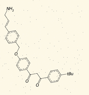 CC(C)(C)c1ccc(C(=O)CC(=O)c2ccc(OCc3ccc(/C=C/CN)cc3)cc2)cc1